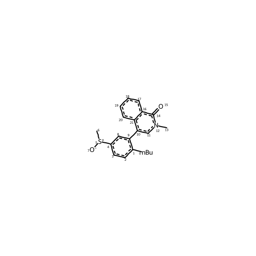 CCCCc1ccc([S+](C)[O-])cc1-c1cn(C)c(=O)c2ccccc12